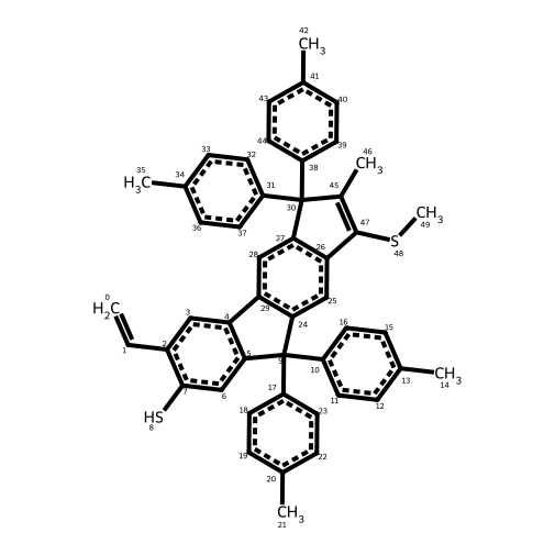 C=Cc1cc2c(cc1S)C(c1ccc(C)cc1)(c1ccc(C)cc1)c1cc3c(cc1-2)C(c1ccc(C)cc1)(c1ccc(C)cc1)C(C)=C3SC